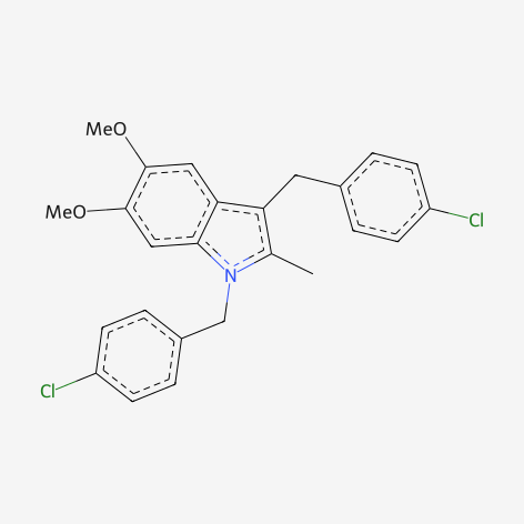 COc1cc2c(Cc3ccc(Cl)cc3)c(C)n(Cc3ccc(Cl)cc3)c2cc1OC